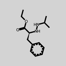 CCOC(=O)[C@H](Cc1ccccc1)NNC(C)C